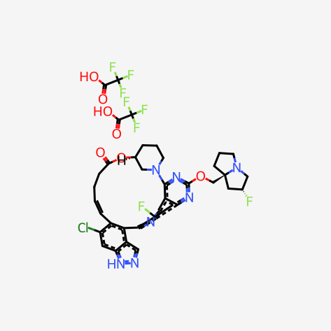 O=C(O)C(F)(F)F.O=C(O)C(F)(F)F.O=C1CC/C=C\c2c(Cl)cc3[nH]ncc3c2-c2ncc3c(nc(OC[C@@]45CCCN4C[C@H](F)C5)nc3c2F)N2CCC[C@@H](C2)O1